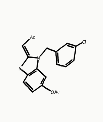 CC(=O)C=C1Sc2ccc(OC(C)=O)cc2N1Cc1cccc(Cl)c1